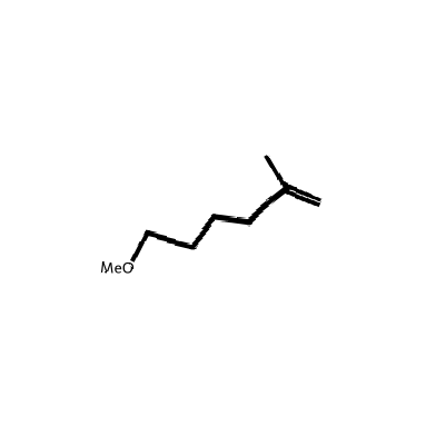 C=C(C)CCCCOC